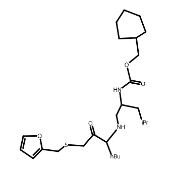 CCCCC(NCC(CC(C)C)NC(=O)OCC1CCCCC1)C(=O)CSCc1ccco1